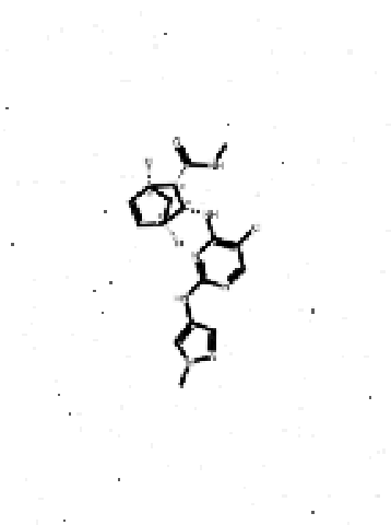 CNC(=O)[C@@H]1[C@H](Nc2nc(Nc3cnn(C)c3)ncc2Cl)[C@H]2C=C[C@@H]1C2